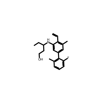 C=Cc1c(C)cc(-c2c(C)cccc2F)cc1NC(CC)CCO